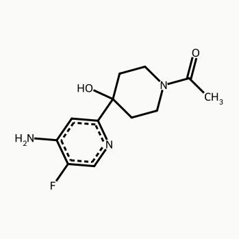 CC(=O)N1CCC(O)(c2cc(N)c(F)cn2)CC1